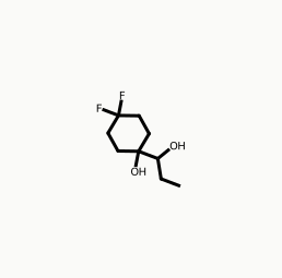 CCC(O)C1(O)CCC(F)(F)CC1